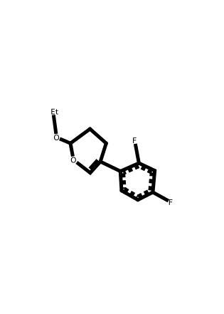 CCOC1CCC(c2ccc(F)cc2F)=CO1